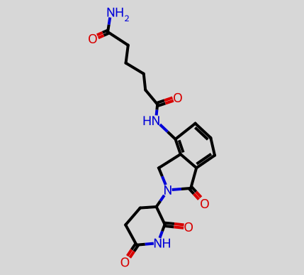 NC(=O)CCCCC(=O)Nc1cccc2c1CN(C1CCC(=O)NC1=O)C2=O